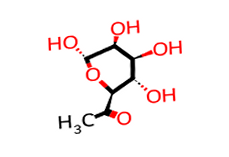 CC(=O)[C@H]1O[C@H](O)[C@@H](O)[C@@H](O)[C@@H]1O